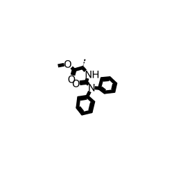 COC(=O)[C@H](C)NC(=O)N(c1ccccc1)c1ccccc1